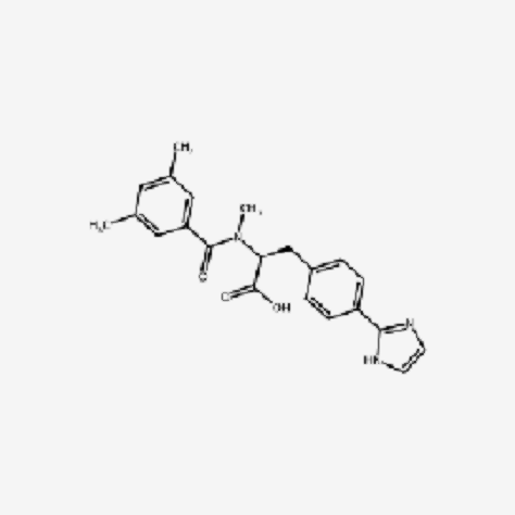 Cc1cc(C)cc(C(=O)N(C)[C@@H](Cc2ccc(-c3ncc[nH]3)cc2)C(=O)O)c1